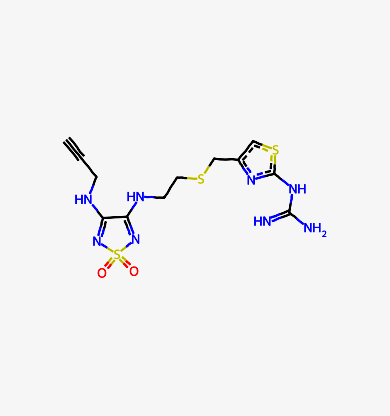 C#CCNC1=NS(=O)(=O)N=C1NCCSCc1csc(NC(=N)N)n1